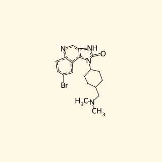 CN(C)CC1CCC(n2c(=O)[nH]c3cnc4ccc(Br)cc4c32)CC1